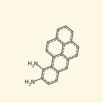 Nc1ccc2cc3ccc4cccc5ccc(c2c1N)c3c45